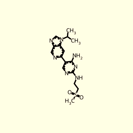 CC(C)n1cnc2cnc(-c3cnc(NCCS(C)(=O)=O)nc3N)cc21